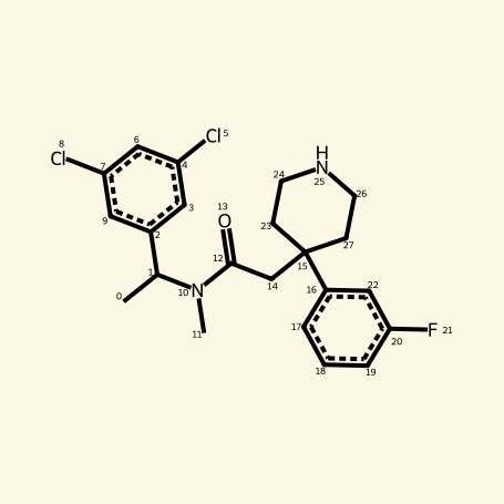 CC(c1cc(Cl)cc(Cl)c1)N(C)C(=O)CC1(c2cccc(F)c2)CCNCC1